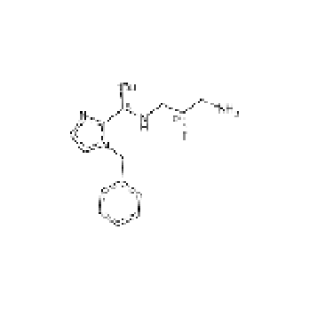 CC(C)(C)[C@@H](NC[C@@H](F)CN)c1nccn1Cc1ccccc1